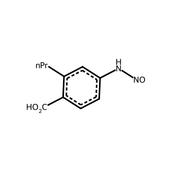 CCCc1cc(NN=O)ccc1C(=O)O